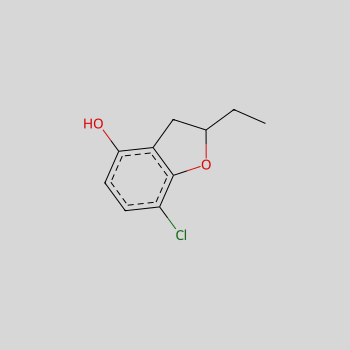 CCC1Cc2c(O)ccc(Cl)c2O1